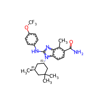 Cc1c(C(N)=O)ccc2c1nc(Nc1ccc(OC(F)(F)F)cc1)n2[C@H]1C[C@H](C)CC(C)(C)C1